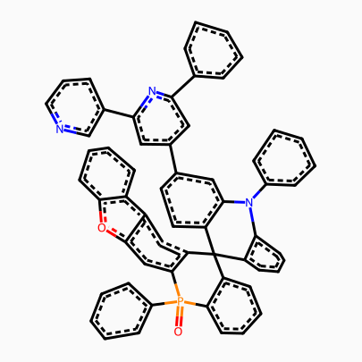 O=P1(c2ccccc2)c2ccccc2C2(c3ccccc3N(c3ccccc3)c3cc(-c4cc(-c5ccccc5)nc(-c5cccnc5)c4)ccc32)c2cc3c(cc21)oc1ccccc13